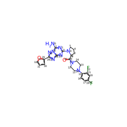 Nc1nc(N2CCC[C@H]2C(=O)N2CCN(c3ccc(F)cc3F)CC2)nc2nc(-c3ccco3)nn12